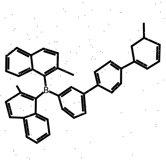 Cc1ccc2ccccc2c1B(c1cccc(-c2ccc(C3=CC=CC(C)C3)cc2)c1)c1c(C)ccc2ccccc12